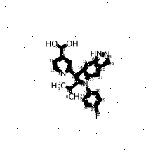 CC(C)c1c(-c2cc(C(O)O)ccn2)c2cc3[nH]ncc3cc2n1-c1ccc(F)cc1